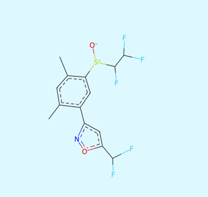 Cc1cc(C)c([S+]([O-])C(F)C(F)F)cc1-c1cc(C(F)F)on1